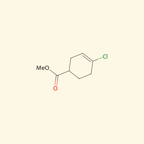 COC(=O)C1CC=C(Cl)CC1